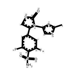 Cc1nc(-n2c(-c3cc(F)c(S(N)(=O)=O)c(F)c3)coc2=O)cs1